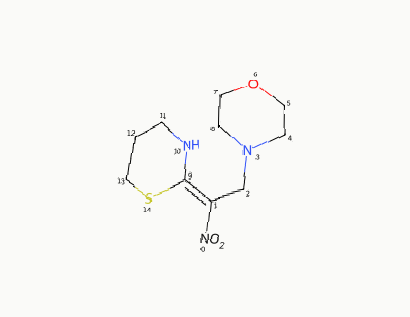 O=[N+]([O-])C(CN1CCOCC1)=C1NCCCS1